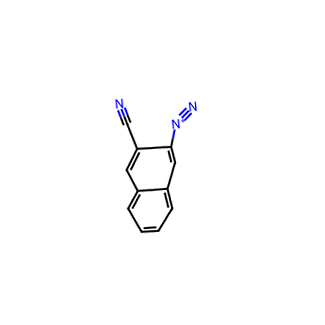 N#Cc1cc2ccccc2cc1[N+]#N